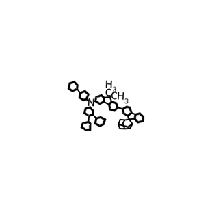 CC1(C)c2ccc(N(c3ccc(-c4ccccc4)cc3)c3ccc(-c4ccccc4)c(-c4ccccc4)c3)cc2-c2ccc(-c3ccc4c(c3)C3(c5ccccc5-4)C4CC5CC(C4)CC3C5)cc21